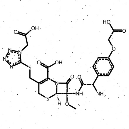 CO[C@@]1(NC(=O)C(N)c2ccc(OCC(=O)O)cc2)C(=O)N2C(C(=O)O)=C(CSc3nnnn3CC(=O)O)CS[C@@H]21